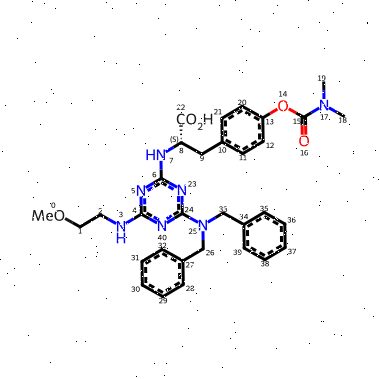 COCCNc1nc(N[C@@H](Cc2ccc(OC(=O)N(C)C)cc2)C(=O)O)nc(N(Cc2ccccc2)Cc2ccccc2)n1